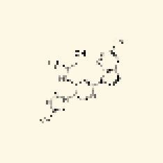 CCCc1cn(-c2cnc(-n3cnc4cc(C#N)cnc43)cc2NC(C)CO)nn1